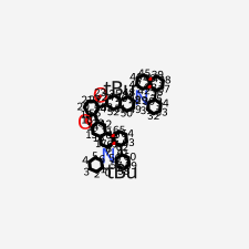 CC(C)(C)c1ccccc1N(c1ccc2cc3c(cc2c1)oc1ccc2oc4cc5cc(N(c6ccccc6-c6ccccc6)c6ccccc6C(C)(C)C)ccc5cc4c2c13)c1ccccc1-c1ccccc1